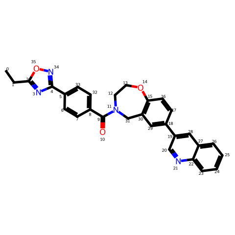 CCc1nc(-c2ccc(C(=O)N3CCOc4ccc(-c5cnc6ccccc6c5)cc4C3)cc2)no1